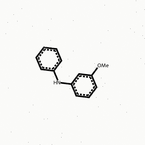 COc1[c]ccc(Nc2ccccc2)c1